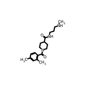 CNCCCNC(=O)C1CCN(C(=O)c2ccc(C)cc2C)CC1